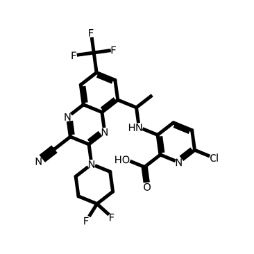 CC(Nc1ccc(Cl)nc1C(=O)O)c1cc(C(F)(F)F)cc2nc(C#N)c(N3CCC(F)(F)CC3)nc12